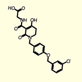 O=C(O)CNC(=O)C1=C(O)CCN(Cc2ccc(OCc3cccc(Cl)c3)cc2)C1=O